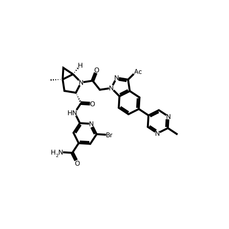 CC(=O)c1nn(CC(=O)N2[C@H](C(=O)Nc3cc(C(N)=O)cc(Br)n3)C[C@@]3(C)C[C@@H]23)c2ccc(-c3cnc(C)nc3)cc12